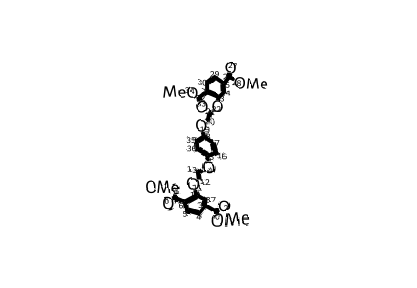 COC(=O)c1ccc(C(=O)OC)c(OCCOc2ccc(OCCOc3cc(C(=O)OC)ccc3C(=O)OC)cc2)c1